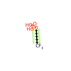 O=P(O)(O)OC(F)(F)C(F)(F)C(F)(F)C(F)(F)C(F)(F)C(F)(F)F